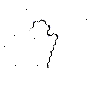 CC/C=C\C/C=C\C/C=C\C/C=C\C/C=C\CCCCNCCCC=O